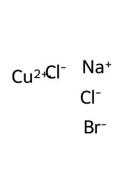 [Br-].[Cl-].[Cl-].[Cu+2].[Na+]